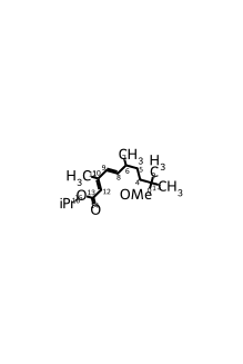 COC(C)(C)CCC(C)C=CC(C)=CC(=O)OC(C)C